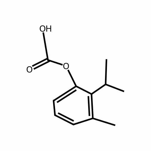 Cc1cccc(OC(=O)O)c1C(C)C